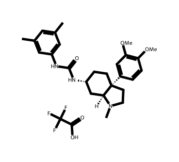 COc1ccc([C@@]23CC[C@@H](NC(=O)Nc4cc(C)cc(C)c4)C[C@@H]2N(C)CC3)cc1OC.O=C(O)C(F)(F)F